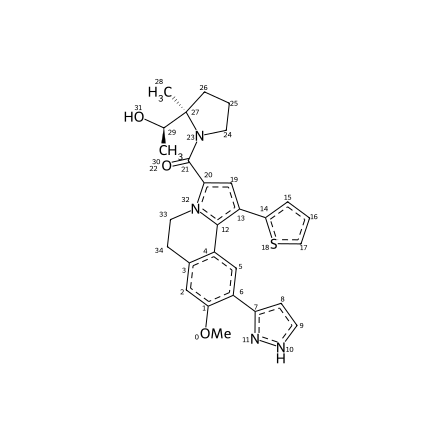 COc1cc2c(cc1-c1cc[nH]n1)-c1c(-c3cccs3)cc(C(=O)N3CCC[C@]3(C)[C@@H](C)O)n1CC2